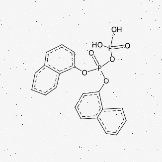 O=P(O)(O)OP(=O)(Oc1cccc2ccccc12)Oc1cccc2ccccc12